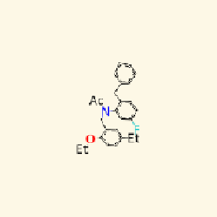 CCOc1ccc(CC)cc1CN(C(C)=O)c1cc(F)ccc1Cc1ccccc1